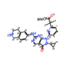 COC(=O)C(C)(C)c1cccc(-n2c3nc(Nc4ccc5c(c4)CCNC5)ncc3c(=O)n2C2CC2)n1